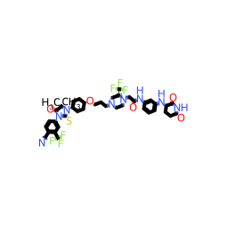 CC1(C)C(=O)N(c2ccc(C#N)c(C(F)(F)F)c2)C(=S)N1[C@H]1CC[C@H](OCCCN2CCN(CC(=O)Nc3cccc(NC4CCC(=O)NC4=O)c3)[C@@H](C(F)(F)F)C2)CC1